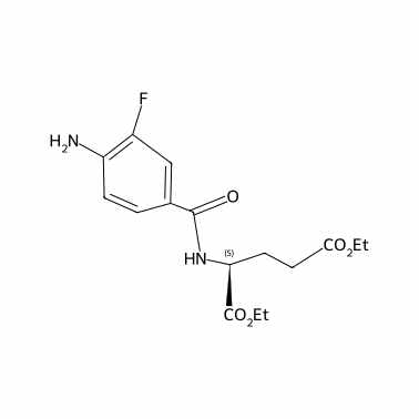 CCOC(=O)CC[C@H](NC(=O)c1ccc(N)c(F)c1)C(=O)OCC